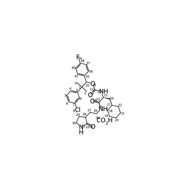 CC(C)(c1cccc(Cl)c1)C(OC(=O)N[C@@H](CC1CCCCC1)C(=O)N[C@@H](CC1CCNC1=O)C(=O)O)c1ccc(F)cc1